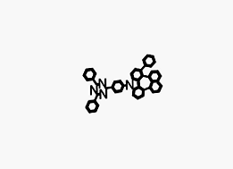 c1ccc(-c2nc(-c3ccccc3)nc(-c3ccc(-n4c5cccc6c5c5c(c(-c7ccccc7)ccc54)-c4cccc5cccc-6c45)cc3)n2)cc1